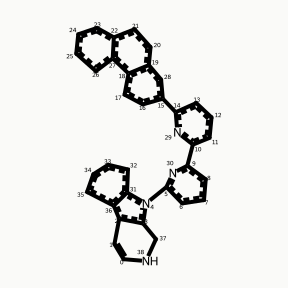 C1=Cc2c(n(-c3cccc(-c4cccc(-c5ccc6c(ccc7ccccc76)c5)n4)n3)c3ccccc23)CN1